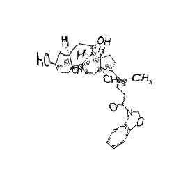 C[C@H](CCC(=O)N1COc2ccccc21)[C@H]1CC[C@H]2[C@@H]3[C@@H](O)C[C@@H]4C[C@H](O)CC[C@]4(C)[C@H]3CC[C@]12C